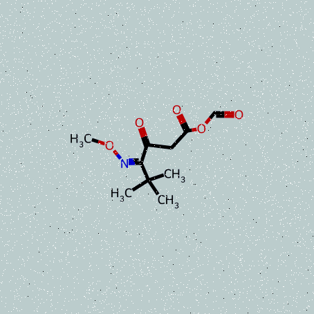 CON=C(C(=O)CC(=O)OC=O)C(C)(C)C